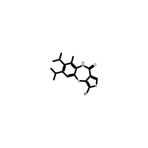 Cc1c2c(cc(C(C)C)c1C(C)C)Sc1c(csc1Br)C(=O)N2